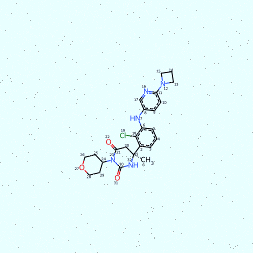 C[C@@]1(c2cccc(Nc3ccc(N4CCC4)nc3)c2Cl)CC(=O)N(C2CCOCC2)C(=O)N1